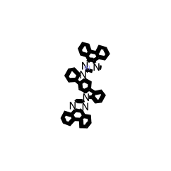 C=Nc1c(/N=C(\C)n2c3ccccc3c3cc4c(cc32)c2ccccc2n4-c2cnc3c4ccccc4c4ccccc4c3n2)c2ccccc2c2ccccc12